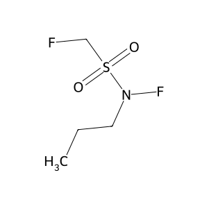 CCCN(F)S(=O)(=O)CF